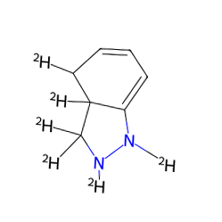 [2H]C1C=CC=C2N([2H])N([2H])C([2H])([2H])C21[2H]